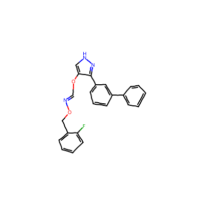 Fc1ccccc1CON=COc1c[nH]nc1-c1cccc(-c2ccccc2)c1